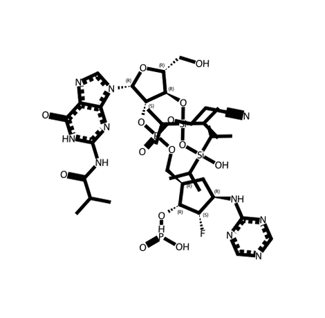 CC(C)C(=O)Nc1nc2c(ncn2[C@@H]2O[C@H](CO)[C@@H](O[Si](O[Si](O)(C(C)C)C(C)C)(C(C)C)C(C)C)[C@@H]2OP(=O)(OCCC#N)OC[C@H]2C[C@@H](Nc3ncncn3)[C@H](F)[C@@H]2O[PH](=O)O)c(=O)[nH]1